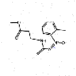 C=C(/N=[N+](/[O-])c1ccccc1C)NCCC(=O)OC